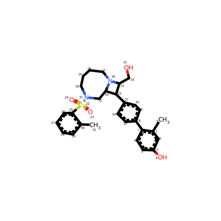 Cc1cc(O)ccc1-c1ccc(C2C(CO)N3CCCCN(S(=O)(=O)c4ccccc4C)CC23)cc1